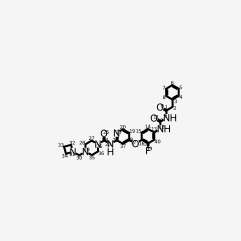 O=C(Cc1ccccc1)NC(=O)Nc1ccc(Oc2ccnc(NC(=O)N3CCN(CN4CCC4)CC3)c2)c(F)c1